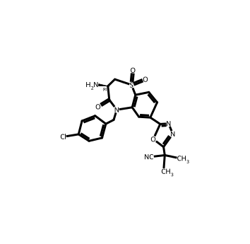 CC(C)(C#N)c1nnc(-c2ccc3c(c2)N(Cc2ccc(Cl)cc2)C(=O)[C@@H](N)CS3(=O)=O)o1